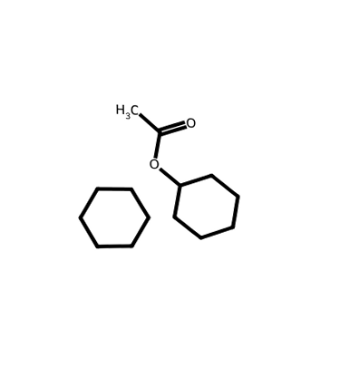 C1CCCCC1.CC(=O)OC1CCCCC1